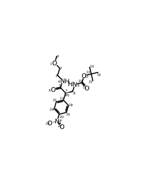 COCCNC(=O)[C@@H](CNC(=O)OC(C)(C)C)c1ccc([N+](=O)[O-])cc1